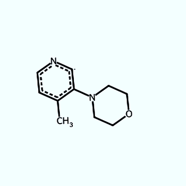 Cc1ccn[c]c1N1CCOCC1